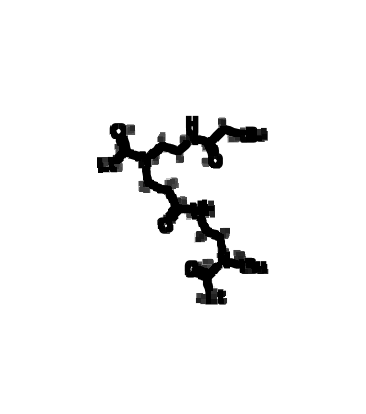 CCC(=O)N(CCNC(=O)CC(C)(C)C)CCC(=O)NCCN(C(=O)CC)C(C)(C)C